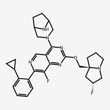 Fc1c(-c2ccccc2C2CC2)ncc2c(N3CC4CCC(C3)N4)nc(OC[C@@]34CCCN3C[C@H](F)C4)nc12